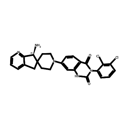 N[C@@H]1c2ncccc2CC12CCN(c1ccc3c(=O)n(-c4cccc(Cl)c4Cl)c(=O)[nH]c3c1)CC2